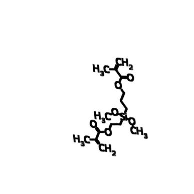 C=C(C)C(=O)OCCC[Si](CCOC(=O)C(=C)C)(OC)OC